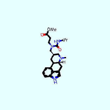 COC(=O)CCN(C[C@@H]1CC2c3cccc4[nH]cc(c34)C[C@H]2N(C)C1)C(=O)NC(C)C